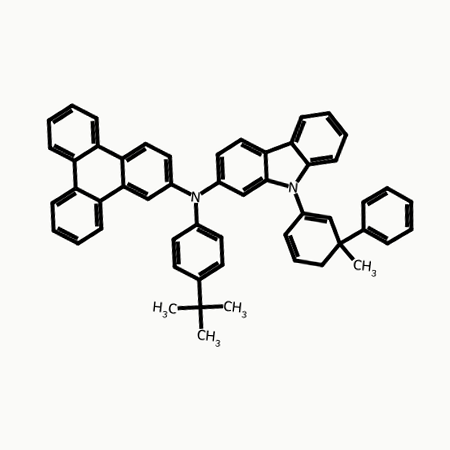 CC(C)(C)c1ccc(N(c2ccc3c4ccccc4c4ccccc4c3c2)c2ccc3c4ccccc4n(C4=CC(C)(c5ccccc5)CC=C4)c3c2)cc1